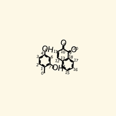 Cc1ccc(O)cc1O.O=C1C=Cc2ccccc2C1=O